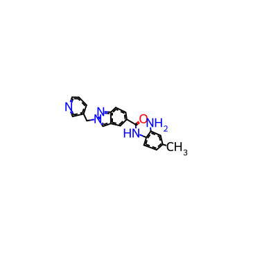 Cc1ccc(NC(=O)c2ccc3nn(Cc4cccnc4)cc3c2)c(N)c1